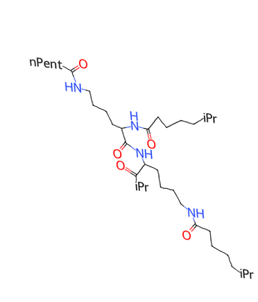 CCCCCC(=O)NCCCCC(NC(=O)CCCCC(C)C)C(=O)NC(CCCCNC(=O)CCCCC(C)C)C(=O)C(C)C